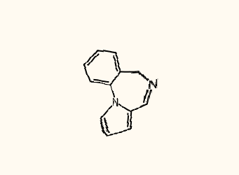 C1=NCc2ccccc2-n2cccc21